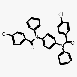 O=C(c1ccc(Cl)cc1)N(c1ccccc1)c1ccc(N(C(=O)c2ccc(Cl)cc2)c2ccccc2)cc1